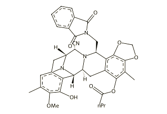 CCCC(=O)Oc1c(C)c2c(c3c1C[C@H]1[C@@H]4c5c(cc(C)c(OC)c5O)C[C@H]([C@H](C#N)N1[C@H]3CN1C(=O)c3ccccc3C1=O)N4C)OCO2